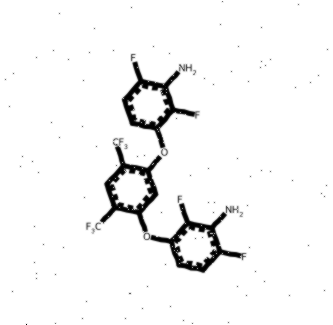 Nc1c(F)ccc(Oc2cc(Oc3ccc(F)c(N)c3F)c(C(F)(F)F)cc2C(F)(F)F)c1F